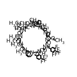 CCO[C@@H]1C[C@H]2C(=O)NC3(CCC3)C(=O)N(C)[C@@H](C3CCCC3)C(=O)N(C)[C@H](C(=O)N(C)C)CC(=O)N(C)[C@@H](CCC(=O)N(C)C)C(=O)N[C@@H]([C@@H](C)CC)C(=O)N(C)CC(=O)N(C)[C@H]3C/C=C\CCN(C3=O)[C@@H](Cc3ccc(C(F)(F)F)cc3)C(=O)N(C)CC(=O)N[C@@H](CCc3cc(F)c(C(F)(F)F)c(F)c3)C(=O)N2C1